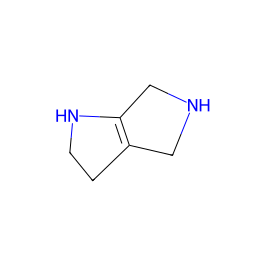 C1CC2=C(CNC2)N1